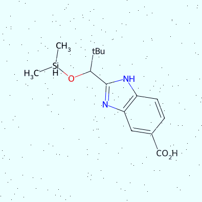 C[SiH](C)OC(c1nc2cc(C(=O)O)ccc2[nH]1)C(C)(C)C